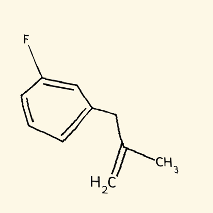 C=C(C)Cc1cccc(F)c1